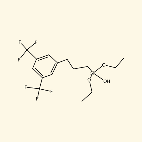 CCO[Si](O)(CCCc1cc(C(F)(F)F)cc(C(F)(F)F)c1)OCC